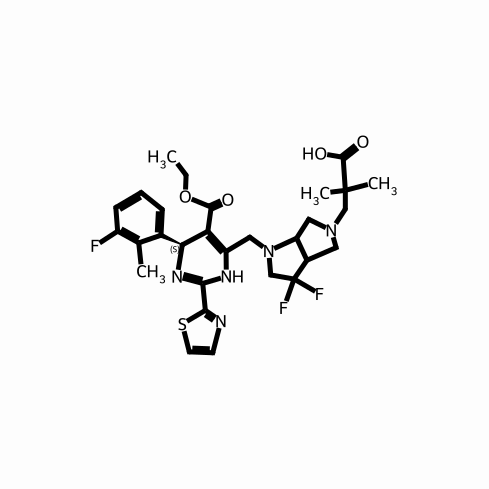 CCOC(=O)C1=C(CN2CC(F)(F)C3CN(CC(C)(C)C(=O)O)CC32)NC(c2nccs2)=N[C@H]1c1cccc(F)c1C